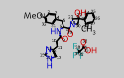 COc1ccc(C[C@H](NC(=O)CCc2c[nH]cn2)C(=O)N2CC(O)(c3ccccc3C)C2)cc1.O=C(O)C(F)(F)F